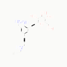 CC(C)CNCC#Cc1cc(C#CC2OC(CO)[C@@H](O)C(O)C2O)c2c(c1)CNN2